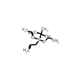 C=CC[Si](OCC)(OCC)C(C)(C)C